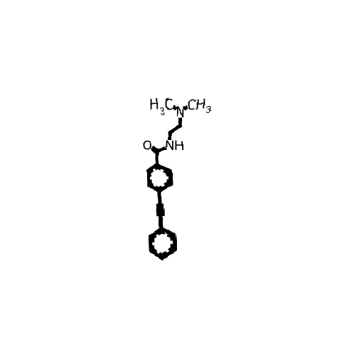 CN(C)CCNC(=O)c1ccc(C#Cc2ccccc2)cc1